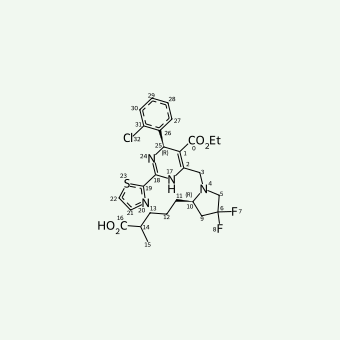 CCOC(=O)C1=C(CN2CC(F)(F)C[C@H]2CCCC(C)C(=O)O)NC(c2nccs2)=N[C@H]1c1ccccc1Cl